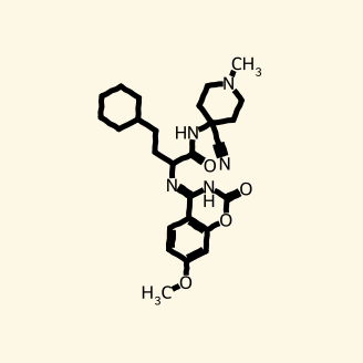 COc1ccc2/c(=N/C(CCC3CCCCC3)C(=O)NC3(C#N)CCN(C)CC3)[nH]c(=O)oc2c1